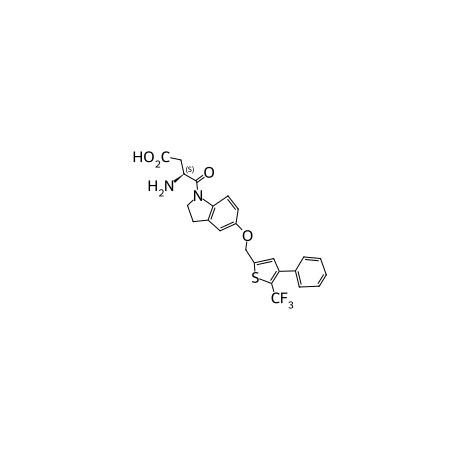 N[C@@H](CC(=O)O)C(=O)N1CCc2cc(OCc3cc(-c4ccccc4)c(C(F)(F)F)s3)ccc21